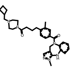 Cc1cc(C(=O)N2Cc3cnn(C)c3Nc3ccccc32)ccc1CCCC(=O)N1CCN(CC2CCC2)CC1